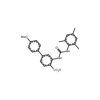 COc1ccc(-c2ccc(C(=O)O)c(NC(=O)Nc3c(C)cc(C)cc3C)c2)cc1